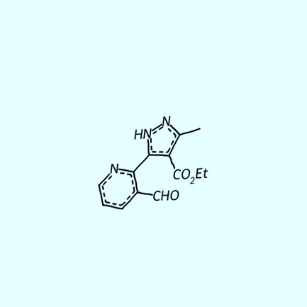 CCOC(=O)c1c(C)n[nH]c1-c1ncccc1C=O